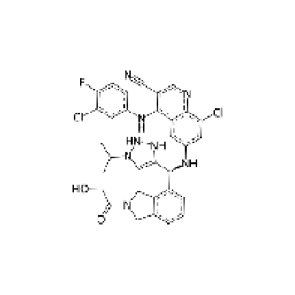 CC(C)N1C=C([C@@H](Nc2cc(Cl)c3ncc(C#N)c(Nc4ccc(F)c(Cl)c4)c3c2)c2cccc3c2CN(C(=O)CO)C3)NN1